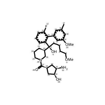 COCCCC[C@@](O)(c1cccc(F)c1-c1cc(C)cc(OC)c1)[C@@H]1CCCN(C(=O)[C@H]2C[C@@H](N)[C@@H](O)C2)C1